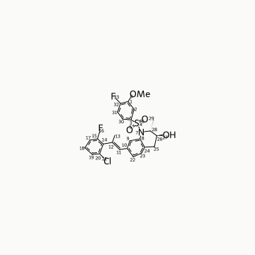 COc1cc(S(=O)(=O)N2c3cc(C=C(C)c4c(F)cccc4Cl)ccc3C[C@H](O)[C@H]2C)ccc1F